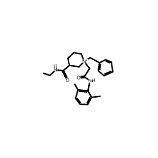 CCNC(=O)C1CCC[N+](CC(=O)Nc2c(C)cccc2C)(Cc2ccccc2)C1